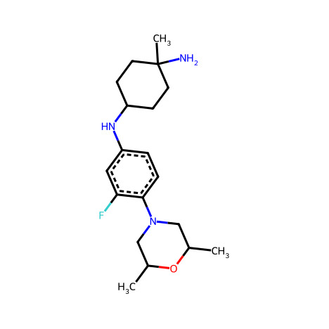 CC1CN(c2ccc(NC3CCC(C)(N)CC3)cc2F)CC(C)O1